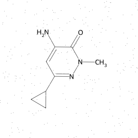 Cn1nc(C2CC2)cc(N)c1=O